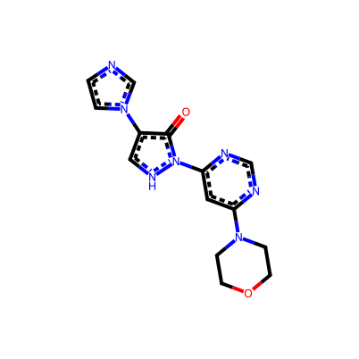 O=c1c(-n2ccnc2)c[nH]n1-c1cc(N2CCOCC2)ncn1